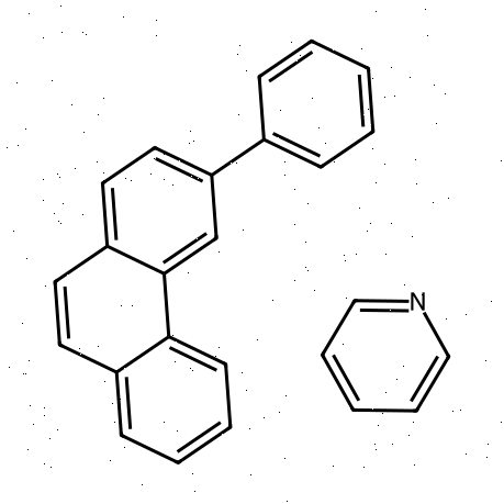 c1ccc(-c2ccc3ccc4ccccc4c3c2)cc1.c1ccncc1